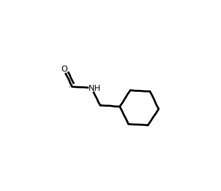 O=[C]NCC1CCCCC1